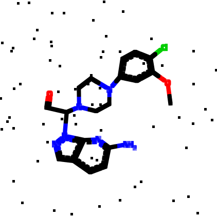 COc1cc(N2CCN(C(C=O)n3ncc4ccc(N)nc43)CC2)ccc1Cl